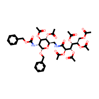 CC(=O)OC[C@@H](OC(C)=O)[C@@H](OC(C)=O)[C@H](OC(C)=O)[C@@H](OC(C)=O)C(=O)NC[C@H]1O[C@H](OCc2ccccc2)[C@H](NC(=O)OCc2ccccc2)[C@@H](OC(C)=O)[C@@H]1OC(C)=O